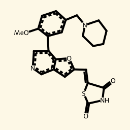 COc1ccc(CN2CCCCC2)cc1-c1cncc2cc(/C=C3\SC(=O)NC3=O)oc12